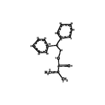 C=C(C)C(=O)OCC(c1ccccc1)c1ccccc1